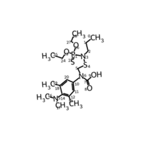 CCCN(SCN(C(=O)O)c1cc(C)c(N(C)C)c(C)c1)P(=S)(OCC)OCC